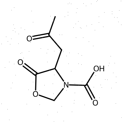 CC(=O)CC1C(=O)OCN1C(=O)O